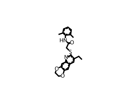 CCc1cc2cc3c(cc2nc1SCC(=O)Nc1c(C)cccc1C)OCCO3